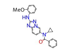 COc1ccccc1Nc1nc2ccc(N(C(=O)c3ccccc3)C3CC3)cn2n1